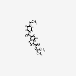 CCc1ccc(C(=O)c2ccc3n2CCC3C(=O)OC(C)C)cc1